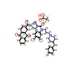 O=C(O)C(F)(F)F.O=C1c2ccccc2C(=O)c2cc(C(=O)N3CCC(C(=O)N(CCCN4CCC(Cc5ccc(F)cc5)CC4)c4ccc(Cl)c(Cl)c4)CC3)ccc21